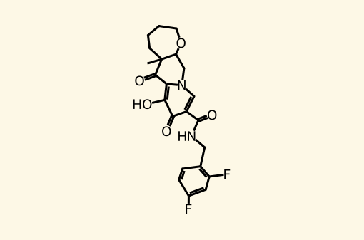 CC12CCCCOC1Cn1cc(C(=O)NCc3ccc(F)cc3F)c(=O)c(O)c1C2=O